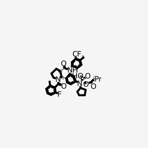 Cc1ccc(NC(=O)[C@H]2CCCN(C(=O)c3c(C)cccc3F)[C@H]2c2ccc(N(C3CCCC3)P(=O)(O)OC(=O)C(C)C)cc2)cc1C(F)(F)F